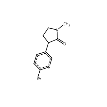 CC(C)c1ccc(C2CCN(C)C2=O)cn1